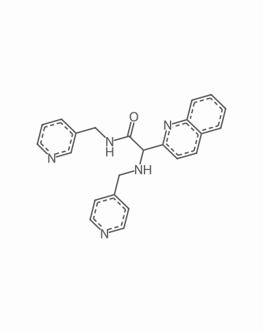 O=C(NCc1cccnc1)C(NCc1ccncc1)c1ccc2ccccc2n1